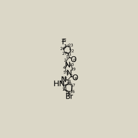 O=C(CN1CCN(C(=O)c2n[nH]c3cc(Br)ccc23)CC1)c1ccc(F)cc1